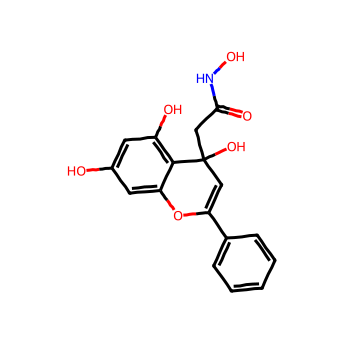 O=C(CC1(O)C=C(c2ccccc2)Oc2cc(O)cc(O)c21)NO